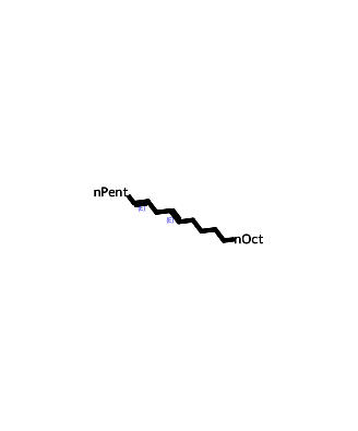 [CH2]CCCCCCCCCCC/C=C/C/C=C/CCCCC